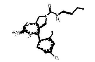 CCCCNC(=O)N1Cc2nc(N)nc(-c3ccc(Cl)cc3C)c2C1